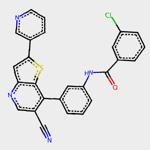 N#Cc1cnc2cc(-c3cccnc3)sc2c1-c1cccc(NC(=O)c2cccc(Cl)c2)c1